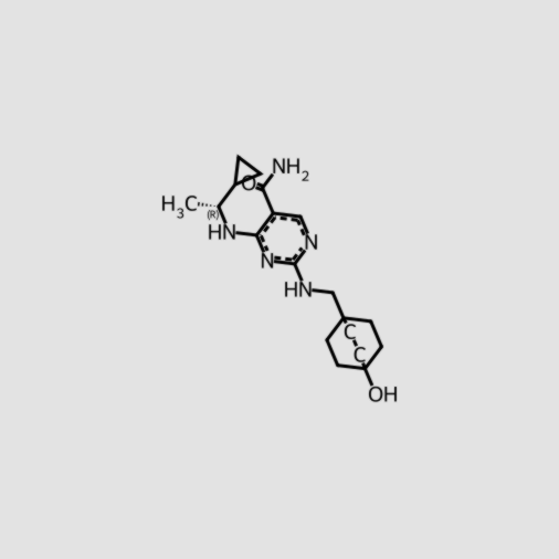 C[C@@H](Nc1nc(NCC23CCC(O)(CC2)CC3)ncc1C(N)=O)C1CC1